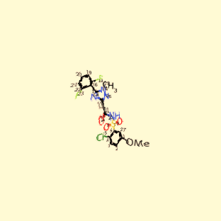 COc1ccc(Cl)c(S(=O)(=O)NC(=O)c2nc(-c3c(F)cccc3F)n(C)n2)c1